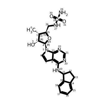 C[C@H]1[C@@H](O)[C@H](n2ccc3c(NC4CCc5ccccc54)ncnc32)O[C@@H]1CNS(N)(=O)=O